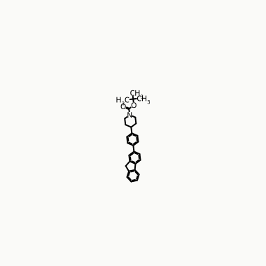 CC(C)(C)OC(=O)N1CCC(c2ccc(-c3ccc4c(c3)Cc3ccccc3-4)cc2)CC1